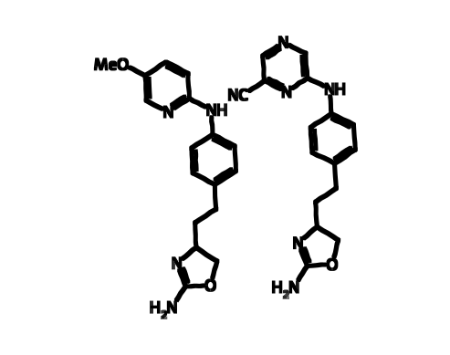 COc1ccc(Nc2ccc(CCC3COC(N)=N3)cc2)nc1.N#Cc1cncc(Nc2ccc(CCC3COC(N)=N3)cc2)n1